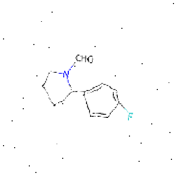 O=CN1CCCC1c1ccc(F)cc1